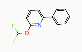 FC(F)Oc1c[c]cc(-c2ccccc2)n1